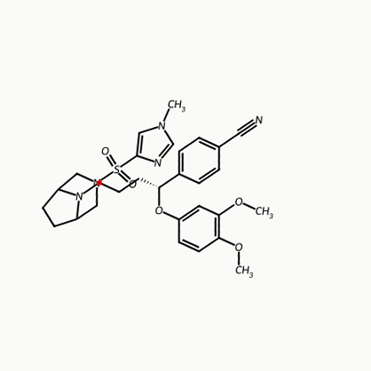 COc1ccc(O[C@H](CCCN2C3CCC2CN(S(=O)(=O)c2cn(C)cn2)C3)c2ccc(C#N)cc2)cc1OC